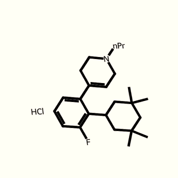 CCCN1CC=C(c2cccc(F)c2C2CC(C)(C)CC(C)(C)C2)CC1.Cl